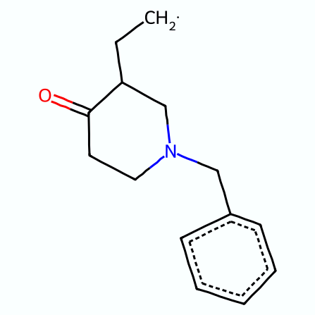 [CH2]CC1CN(Cc2ccccc2)CCC1=O